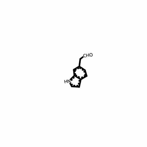 O=CCc1ccc2cc[nH]c2c1